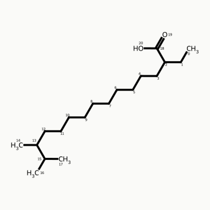 CCC(CCCCCCCCCCC(C)C(C)C)C(=O)O